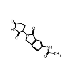 CC(=O)Nc1ccc2c(c1)C(=O)N(C1CCC(=O)NC1=O)C2